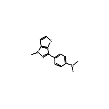 CN(C)c1ccc(-c2nn(C)c3ccsc23)cc1